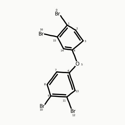 Brc1ccc(Oc2ccc(Br)c(Br)c2)cc1Br